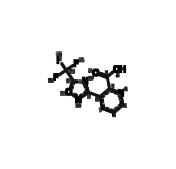 O=C(O)c1ncccc1-c1noc(C(F)(F)F)n1